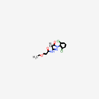 CCOC=CC(=O)NC1=NN(c2c(Cl)cccc2Cl)C(=O)C1C